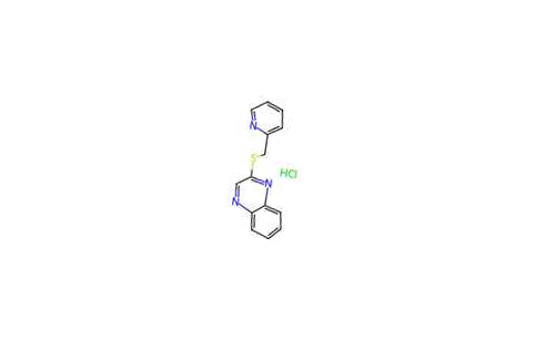 Cl.c1ccc(CSc2cnc3ccccc3n2)nc1